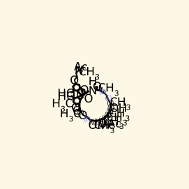 CO[C@H]1/C=C/O[C@@]2(C)Oc3c(C)c(O)c4c(=O)c(c5oc6cc(OCCN(C)C(C)=O)cc(O)c6nc-5c4c3C2=O)NC(=O)/C(C)=C\C=C\[C@H](C)[C@H](O)[C@@H](C)[C@@H](C)[C@@H](C)[C@H](OC(C)=O)[C@@H]1C